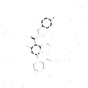 CCSc1nc(N2CCOC[C@@H]2COC)cc(C)c1C(=O)NCc1ccc(F)cc1